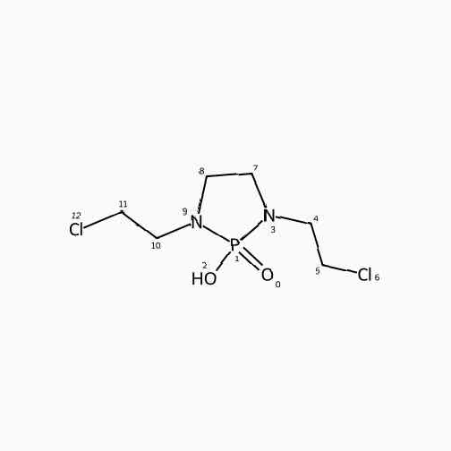 O=P1(O)N(CCCl)CCN1CCCl